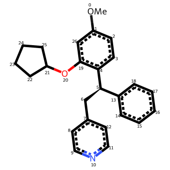 COc1ccc([C@H](Cc2ccncc2)c2ccccc2)c(OC2CCCC2)c1